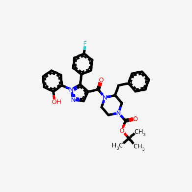 CC(C)(C)OC(=O)N1CCN(C(=O)c2cnn(-c3ccccc3O)c2-c2ccc(F)cc2)C(Cc2ccccc2)C1